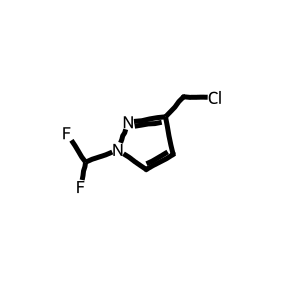 FC(F)n1ccc(CCl)n1